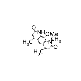 COc1c2[nH]c(=O)cc(C)c2cc2c(C)cc(=O)n(C)c12